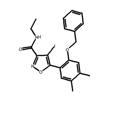 CCNC(=O)c1noc(-c2cc(C)c(C)cc2OCc2ccccc2)c1I